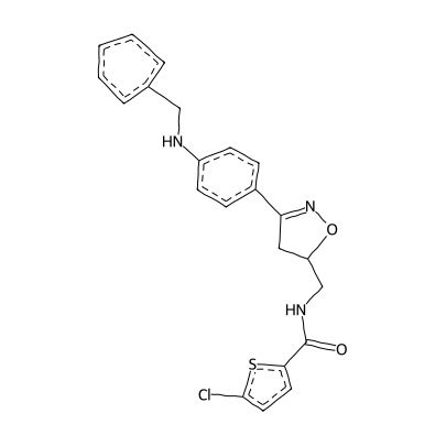 O=C(NCC1CC(c2ccc(NCc3ccccc3)cc2)=NO1)c1ccc(Cl)s1